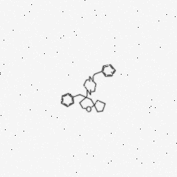 c1ccc(CN2CCN(C3(Cc4ccccc4)CCOC4(CCCC4)C3)CC2)cc1